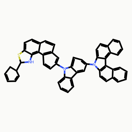 C1=CCC(C2Nc3c(ccc4ccc5cc(-n6c7ccccc7c7cc(-n8c9ccc%10ccccc%10c9c9c%10ccccc%10ccc98)ccc76)ccc5c34)S2)C=C1